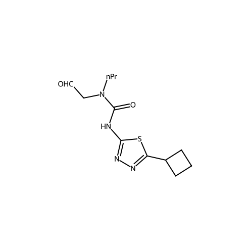 CCCN(CC=O)C(=O)Nc1nnc(C2CCC2)s1